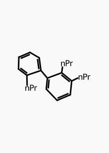 CCCc1ccccc1-c1cccc(CCC)c1CCC